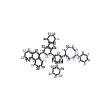 C1=C/C(c2ccccc2)=C\C=C(\c2cc(-c3cc(-c4cc5cccnc5c5ccccc45)cc4c3sc3ccccc34)nc(-c3ccccc3)n2)CC\1